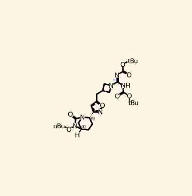 CCCCON1C(=O)N2C[C@@H]1CC[C@H]2c1cc(CC2CN(/C(=N/C(=O)OC(C)(C)C)NC(=O)OC(C)(C)C)C2)on1